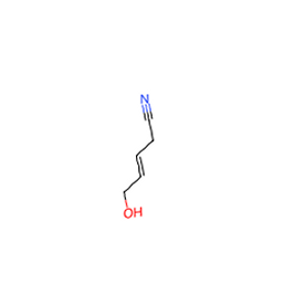 N#CCC=CCO